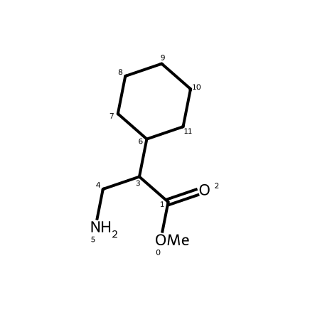 COC(=O)C(CN)C1CCCCC1